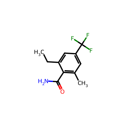 CCc1cc(C(F)(F)F)cc(C)c1C(N)=O